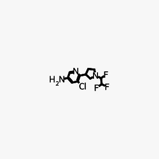 Nc1cnc(C2CCN(C(F)C(F)F)C2)c(Cl)c1